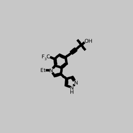 CCn1cc(-c2cn[nH]c2)c2cc(C#CC(C)(C)O)cc(C(F)(F)F)c21